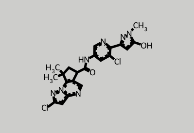 Cn1nc(-c2ncc(NC(=O)C3CC(C)(C)c4c3cnc3cc(Cl)nn43)cc2Cl)cc1O